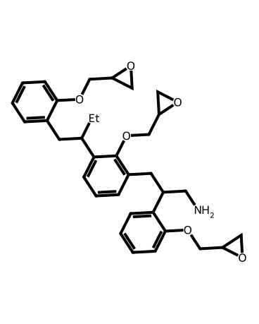 CCC(Cc1ccccc1OCC1CO1)c1cccc(CC(CN)c2ccccc2OCC2CO2)c1OCC1CO1